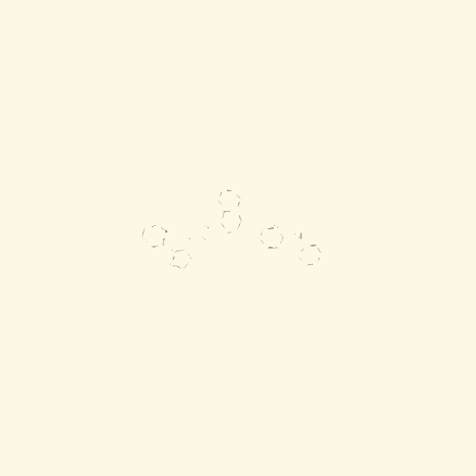 Cc1ccc(-n2nc(C(C)(C)C)cc2NC(=O)Nc2ccc(Oc3ccnc(Nc4cccc(C(=O)O)c4)n3)c3ccccc23)cc1